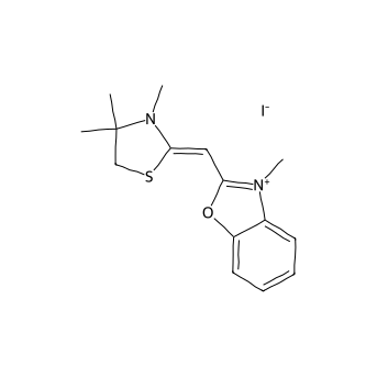 CN1/C(=C/c2oc3ccccc3[n+]2C)SCC1(C)C.[I-]